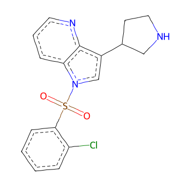 O=S(=O)(c1ccccc1Cl)n1cc(C2CCNC2)c2ncccc21